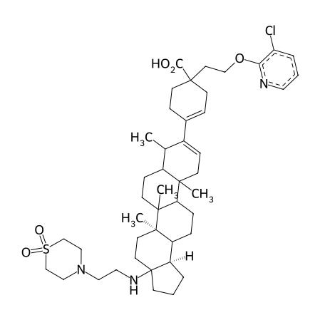 CC1C(C2=CCC(CCOc3ncccc3Cl)(C(=O)O)CC2)=CCC2(C)C1CCC1(C)C2CCC2[C@H]3CCCC3(NCCN3CCS(=O)(=O)CC3)CC[C@]21C